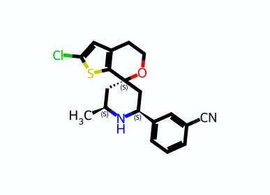 C[C@H]1C[C@@]2(C[C@@H](c3cccc(C#N)c3)N1)OCCc1cc(Cl)sc12